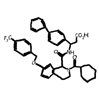 O=C(O)CC(NC(=O)C1c2cc(OCc3ccc(C(F)(F)F)cc3)ccc2CCN1C(=O)C1CCCCC1)c1ccc(-c2ccccc2)cc1